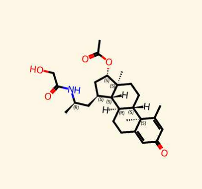 CC(=O)O[C@H]1C[C@H](C[C@@H](C)NC(=O)CO)[C@H]2[C@@H]3CCC4=CC(=O)C=C(C)[C@]4(C)[C@H]3CC[C@@]21C